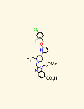 COCCn1c(CN2CC[C@@H](c3cccc(OCc4ccc(Cl)cc4F)n3)C[C@@H]2C)nc2ccc(C(=O)O)cc21